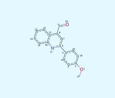 COc1ccc(-c2cc(C=O)c3ccccc3n2)cc1